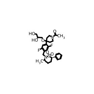 CC(=O)N1CCC(OCC(O)CO)(c2cc(F)c(CN3[C@@H](C)CC[C@H](c4ccccc4)S3(=O)=O)cc2F)CC1